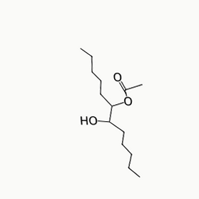 CCCCCC(O)C(CCCCC)OC(C)=O